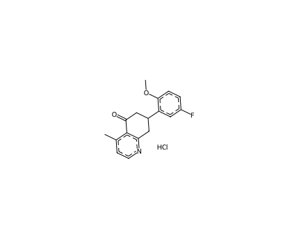 COc1ccc(F)cc1C1CC(=O)c2c(C)ccnc2C1.Cl